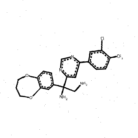 NCC(N)(c1ccc2c(c1)OCCCO2)c1cc(-c2ccc(C(F)(F)F)c(Cl)c2)ncn1